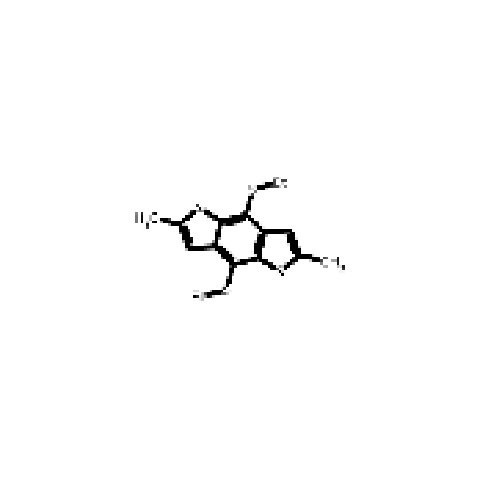 CCSc1c2cc(C)sc2c(SCC)c2cc(C)sc12